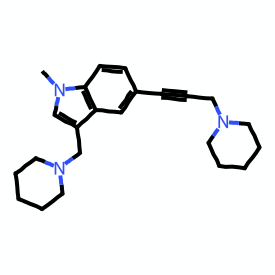 Cn1cc(CN2CCCCC2)c2cc(C#CCN3CCCCC3)ccc21